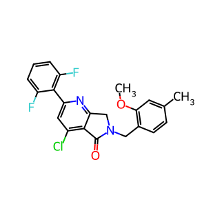 COc1cc(C)ccc1CN1Cc2nc(-c3c(F)cccc3F)cc(Cl)c2C1=O